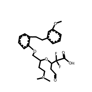 COc1cccc(CCc2ccccc2OCC(CCN(C)C)OC(CC=O)C(F)(F)C(=O)O)c1